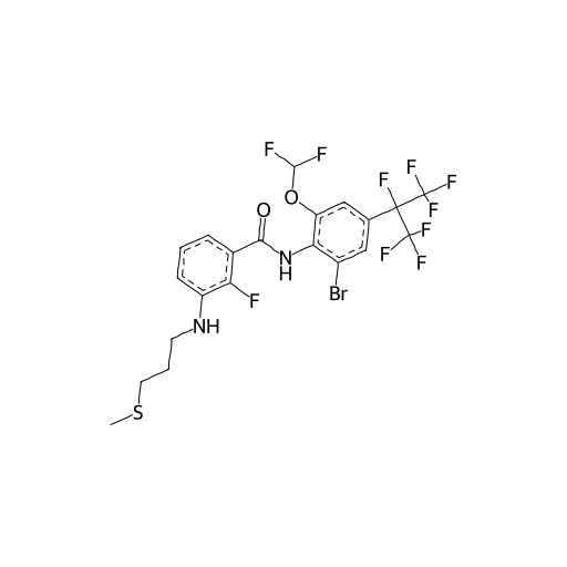 CSCCCNc1cccc(C(=O)Nc2c(Br)cc(C(F)(C(F)(F)F)C(F)(F)F)cc2OC(F)F)c1F